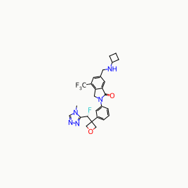 Cn1cnnc1[C@H](F)C1(c2cccc(N3Cc4c(cc(CNC5CCC5)cc4C(F)(F)F)C3=O)c2)COC1